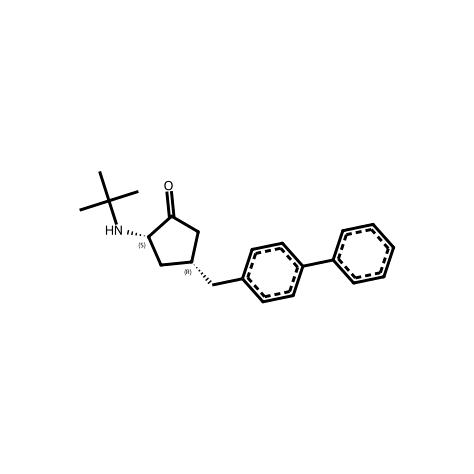 CC(C)(C)N[C@H]1C[C@@H](Cc2ccc(-c3ccccc3)cc2)CC1=O